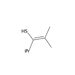 CC(C)=C(S)C(C)C